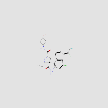 CC(/C=C\C=C(\Cl)CF)[C@H]1[C@H](C(=O)NC2CC(O)C2)N[C@H](CC(C)(C)C)[C@]12C(=O)Nc1cc(Cl)ccc12